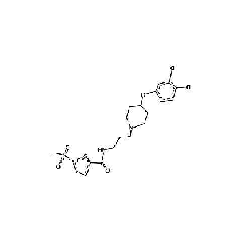 CS(=O)(=O)c1ccc(C(=O)NCCCN2CCC(Oc3ccc(Cl)c(Cl)c3)CC2)s1